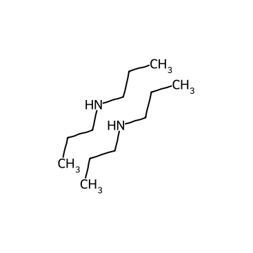 CCCNCCC.CCCNCCC